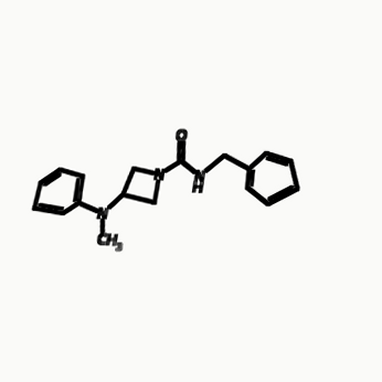 CN(c1ccccc1)C1CN(C(=O)NCc2ccccc2)C1